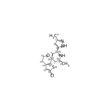 Cc1cc([C@@H]2C[C@]3(C[C@H](C)N2)OCCc2cc(Cl)sc23)[nH]n1